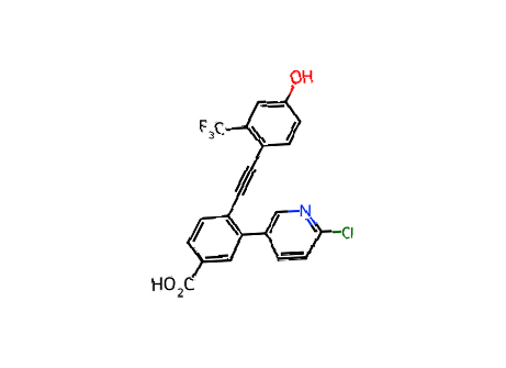 O=C(O)c1ccc(C#Cc2ccc(O)cc2C(F)(F)F)c(-c2ccc(Cl)nc2)c1